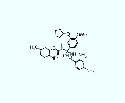 COc1ccc([C@](C)(NCc2ccc(N)cc2N)NC(=O)OC2CC(C)CCC2C(C)C)cc1OC1CCCC1